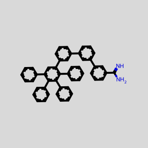 N=C(N)c1cccc(-c2cccc(-c3cccc(-c4cc(-c5ccccc5)c(-c5ccccc5)c(-c5ccccc5)c4-c4ccccc4)c3)c2)c1